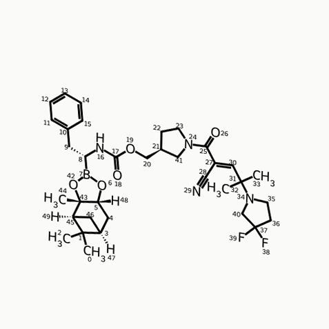 CC1(C)[C@@H]2C[C@H]3OB([C@H](Cc4ccccc4)NC(=O)OC[C@H]4CCN(C(=O)/C(C#N)=C/C(C)(C)N5CCC(F)(F)C5)C4)O[C@@]3(C)[C@H]1C2